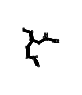 C=N/C=C\C(=C/C)CNCC